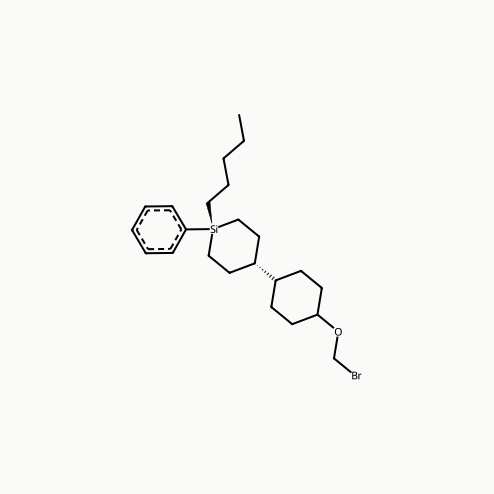 CCCCC[Si@]1(c2ccccc2)CC[C@@H](C2CCC(OCBr)CC2)CC1